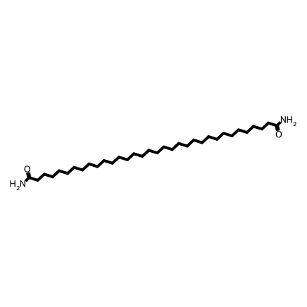 NC(=O)CCCCCCCCCCCCCCCCCCCCCCCCCCCCCCCCC(N)=O